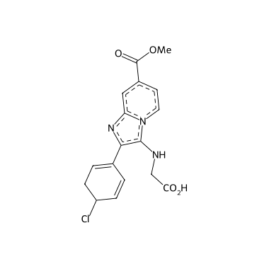 COC(=O)c1ccn2c(NCC(=O)O)c(C3=CCC(Cl)C=C3)nc2c1